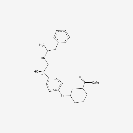 COC(=O)C1CCCC(Oc2ccc([C@@H](O)CNC(C)Cc3ccccc3)cc2)C1